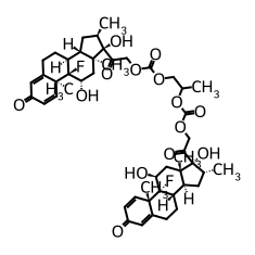 CC(COC(=O)OCC(=O)[C@@]1(O)[C@H](C)C[C@H]2[C@@H]3CCC4=CC(=O)C=C[C@]4(C)[C@@]3(F)[C@@H](O)C[C@@]21C)OC(=O)OCC(=O)[C@@]1(O)[C@H](C)C[C@H]2[C@@H]3CCC4=CC(=O)C=C[C@]4(C)[C@@]3(F)[C@@H](O)C[C@@]21C